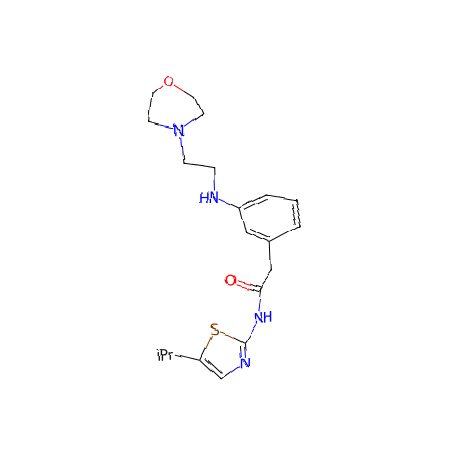 CC(C)c1cnc(NC(=O)Cc2cccc(NCCN3CCOCC3)c2)s1